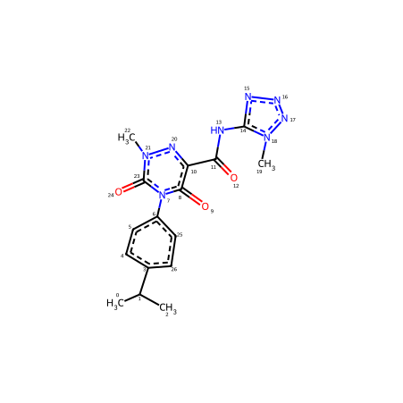 CC(C)c1ccc(-n2c(=O)c(C(=O)Nc3nnnn3C)nn(C)c2=O)cc1